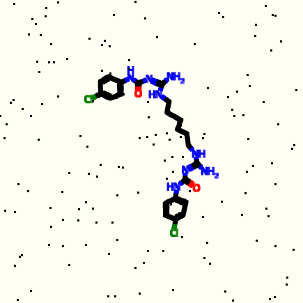 NC(=NC(=O)Nc1ccc(Cl)cc1)NCCCCCCNC(N)=NC(=O)Nc1ccc(Cl)cc1